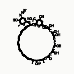 COC12CC(O)CC(O)C(O)CCC(O)CC(O)CC(=O)O[C@@H](C)[C@H](C)C(O)[C@@H](C)/C=C/C=C/C=C/C=C/C=C/C=C/C=C/C(OC3C[C@@H](N=[N+]=[N-])[C@H](O)[C@@H](C)O3)C[C@H](O1)[C@H](C(=O)O)[C@@H](O)C2